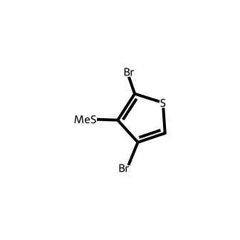 CSc1c(Br)csc1Br